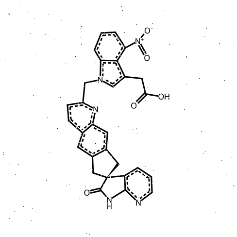 O=C(O)Cc1cn(Cc2ccc3cc4c(cc3n2)C[C@]2(C4)C(=O)Nc3ncccc32)c2cccc([N+](=O)[O-])c12